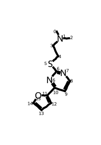 CN(C)CCSc1nccc(-c2ccco2)n1